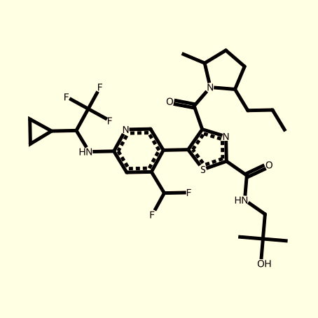 CCCC1CCC(C)N1C(=O)c1nc(C(=O)NCC(C)(C)O)sc1-c1cnc(NC(C2CC2)C(F)(F)F)cc1C(F)F